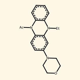 CCN1c2ccccc2N(C(C)=O)c2ccc(N3CCOCC3)cc21